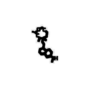 CBC1=CC2=CCCC(CCC3(C)CCCCO[C@H](C)CC3C)C2CC1